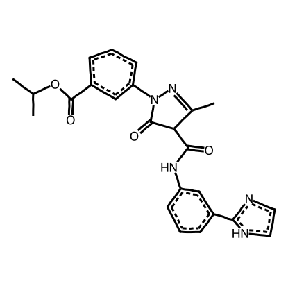 CC1=NN(c2cccc(C(=O)OC(C)C)c2)C(=O)C1C(=O)Nc1cccc(-c2ncc[nH]2)c1